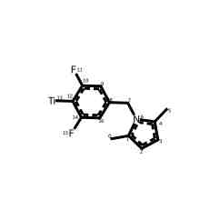 Cc1ccc(C)n1Cc1cc(F)[c]([Ti])c(F)c1